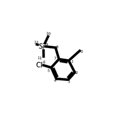 Cc1cccc(Cl)c1C[Si](C)(C)C